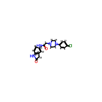 O=C(CN1CCN(c2ccc(Cl)cc2)CC1)Nc1ccc2c(c1)CC(=O)N2